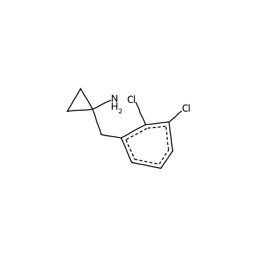 NC1(Cc2cccc(Cl)c2Cl)CC1